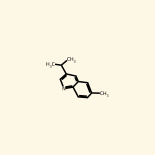 Cc1ccc2ncc(C(C)C)cc2c1